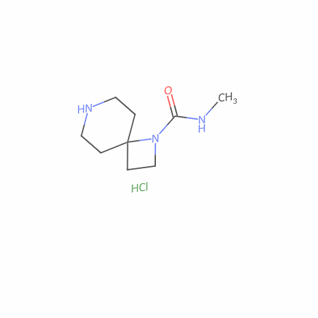 CNC(=O)N1CCC12CCNCC2.Cl